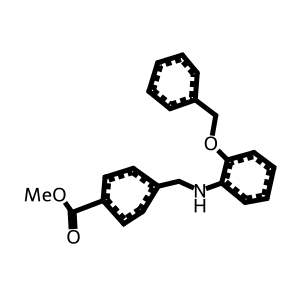 COC(=O)c1ccc(CNc2ccccc2OCc2ccccc2)cc1